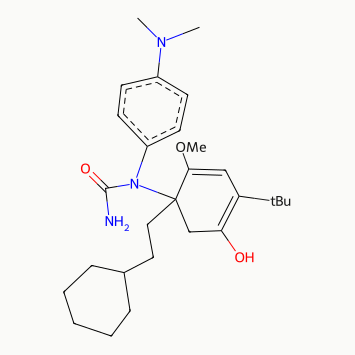 COC1=CC(C(C)(C)C)=C(O)CC1(CCC1CCCCC1)N(C(N)=O)c1ccc(N(C)C)cc1